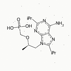 CC(C)c1nc(N)c2nc(C(C)C)n(C[C@@H](C)OCP(=O)(O)O)c2n1